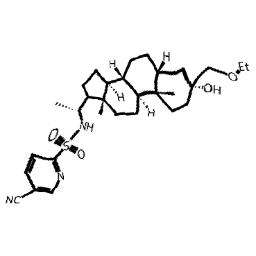 CCOC[C@@]1(O)CC[C@@]2(C)[C@H](CC[C@@H]3[C@@H]2CC[C@]2(C)C([C@@H](C)NS(=O)(=O)c4ccc(C#N)cn4)CC[C@@H]32)C1